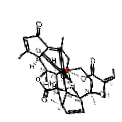 C=C1C(=O)O[C@@H]2[C@@H]3[C@@]4(C=C[C@@]3(C)[C@@]3(C4)C(=O)O[C@@H]4[C@H]5C(C)=CC(=O)C5=C(C)C[C@H](OC(=O)/C(C)=C\C)[C@H]43)[C@](C)(O)CC[C@@H]12